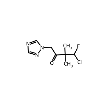 CC(C)(C(=O)Cn1cncn1)C(F)Cl